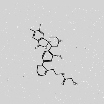 Cc1cc(-c2ccccc2CCNC(=O)CO)ccc1C1CNCC[C@@]12OC(=O)c1cc(F)c(F)cc12